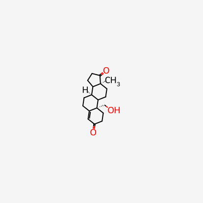 C[C@]12CCC3[C@@H](CCC4=CC(=O)CC[C@@]43CO)C1CCC2=O